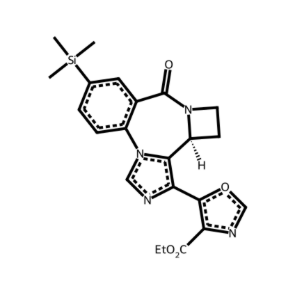 CCOC(=O)c1ncoc1-c1ncn2c1[C@@H]1CCN1C(=O)c1cc([Si](C)(C)C)ccc1-2